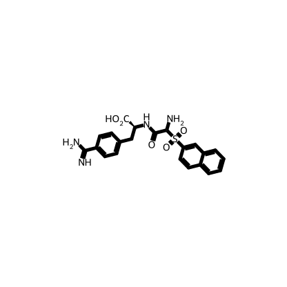 N=C(N)c1ccc(C[C@H](NC(=O)C(N)S(=O)(=O)c2ccc3ccccc3c2)C(=O)O)cc1